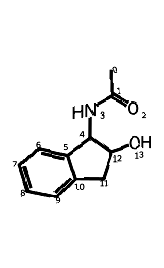 CC(=O)NC1c2ccccc2CC1O